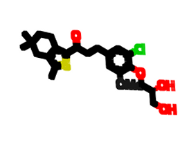 COc1cc(CCC(=O)c2sc(C)c3c2CCC(C)(C)C3)cc(Cl)c1OC[C@H](O)CO